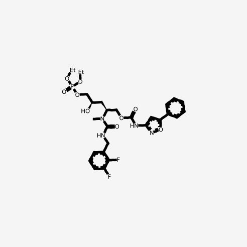 CCOP(=O)(OCC)OC[C@H](O)C[C@@H](COC(=O)Nc1cc(-c2ccccc2)on1)N(C)C(=O)NCc1cccc(F)c1F